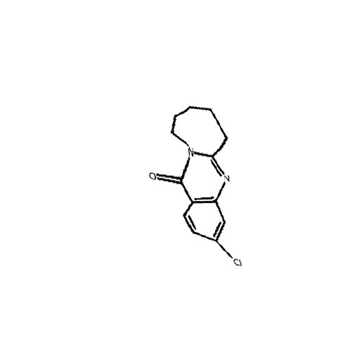 O=c1c2ccc(Cl)cc2nc2n1CCCCC2